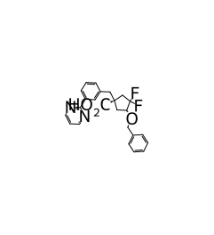 O=C(O)[C@]1(Cc2cccc(-c3ncccn3)c2)C[C@H](OCc2ccccc2)C(F)(F)C1